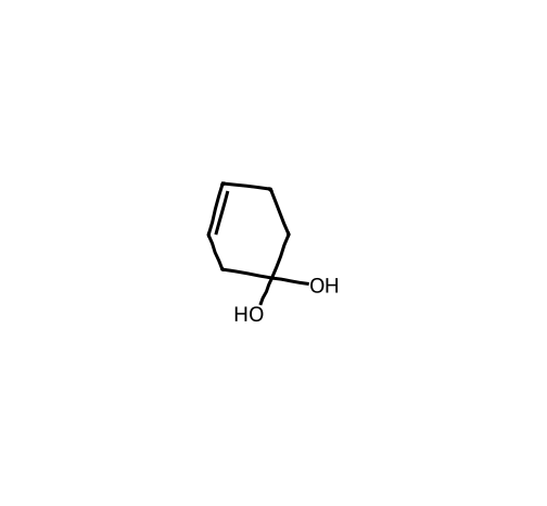 OC1(O)CC=CCC1